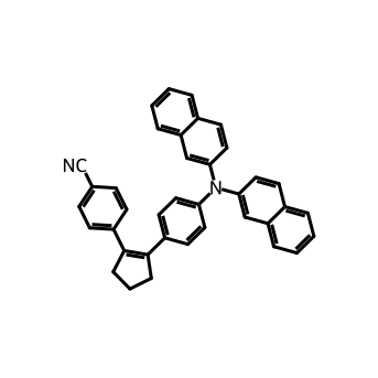 N#Cc1ccc(C2=C(c3ccc(N(c4ccc5ccccc5c4)c4ccc5ccccc5c4)cc3)CCC2)cc1